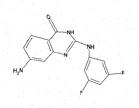 Nc1ccc2c(=O)[nH]c(Nc3cc(F)cc(F)c3)nc2c1